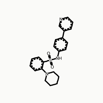 O=S(=O)(Nc1ccc(-c2cccnc2)cc1)c1ccccc1N1CCCCC1